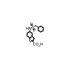 O=C(O)c1cc2cc(NS(=O)(=O)Cc3ccccc3)ccc2s1